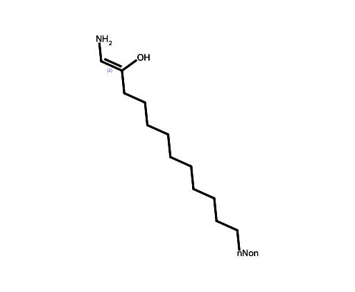 CCCCCCCCCCCCCCCCCCC/C(O)=C/N